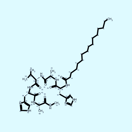 CCCCCCCCCCCCCCCC(=O)N[C@H](Cc1c[nH]cn1)C(=O)N[C@@H](C)C(=O)N[C@H](C(=O)N[C@@H](Cc1c[nH]cn1)C(=O)N[C@@H](C)C(=O)NC)C(C)C